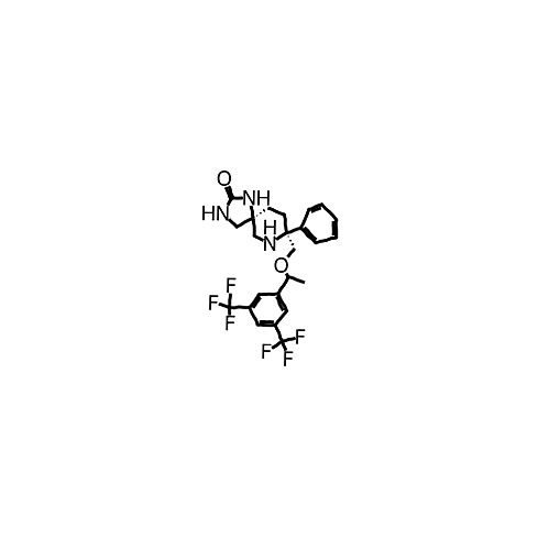 CC(OC[C@@]1(c2ccccc2)CC[C@@]2(CNC(=O)N2)CN1)c1cc(C(F)(F)F)cc(C(F)(F)F)c1